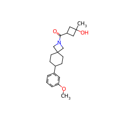 COc1cccc(C2CCC3(CC2)CN(C(=O)C2CC(C)(O)C2)C3)c1